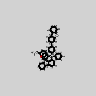 CC1C=C(n2c3ccccc3c3cccc([Si](c4ccccc4)(c4ccccc4)c4ccc(-c5ccc6c(c5)oc5ccccc56)cc4)c32)C=CC1